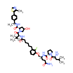 Cc1ncsc1-c1ccc([C@H](C)NC(=O)[C@@H]2C[C@@H](O)CN2C(=O)[C@@H](NC(=O)CCCCCc2cccc(OC[C@H](CCC(N)=O)NC(=O)[C@@H]3CCCN3C(=O)[C@@H](N)CC(C)C)c2F)C(C)(C)C)cc1